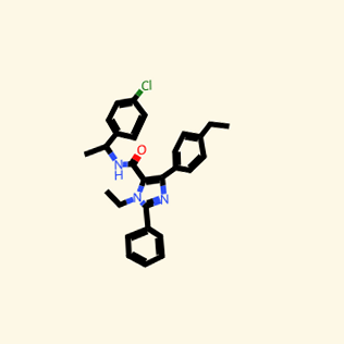 CCc1ccc(-c2nc(-c3ccccc3)n(CC)c2C(=O)NC(C)c2ccc(Cl)cc2)cc1